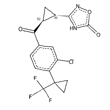 O=C(c1ccc(C2(C(F)(F)F)CC2)c(Cl)c1)[C@H]1C[C@@H]1c1noc(=O)[nH]1